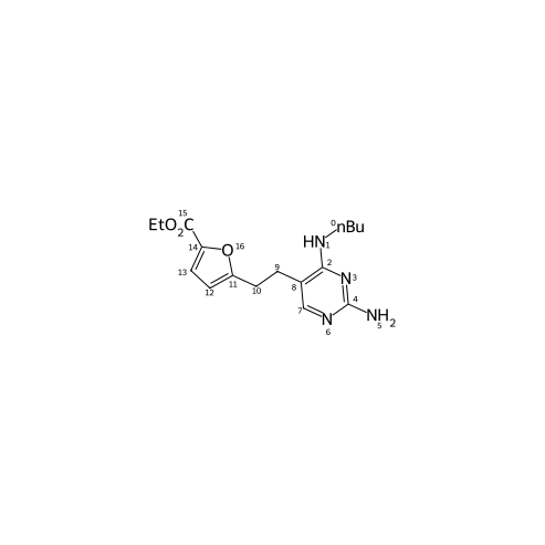 CCCCNc1nc(N)ncc1CCc1ccc(C(=O)OCC)o1